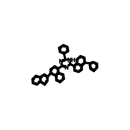 c1ccc(C2=NC(c3ccc(-c4ccc5ccccc5c4)c4ccccc34)=NC(c3cccc4c(-c5ccccc5)cccc34)N2)cc1